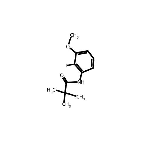 COc1cccc(NC(=O)C(C)(C)C)c1I